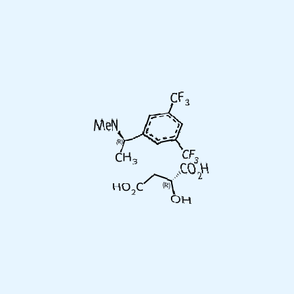 CN[C@H](C)c1cc(C(F)(F)F)cc(C(F)(F)F)c1.O=C(O)C[C@@H](O)C(=O)O